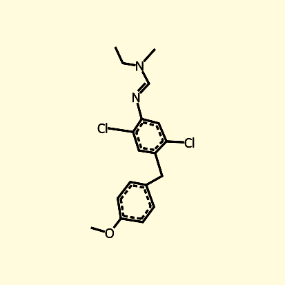 CCN(C)C=Nc1cc(Cl)c(Cc2ccc(OC)cc2)cc1Cl